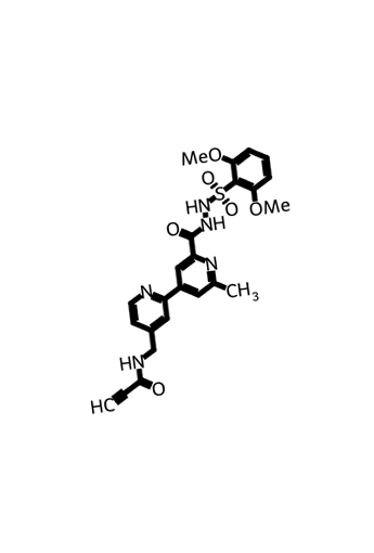 C#CC(=O)NCc1ccnc(-c2cc(C)nc(C(=O)NNS(=O)(=O)c3c(OC)cccc3OC)c2)c1